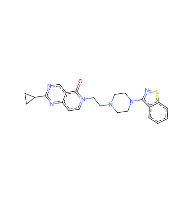 O=c1c2cnc(C3CC3)nc2ccn1CCN1CCN(c2nsc3ccccc23)CC1